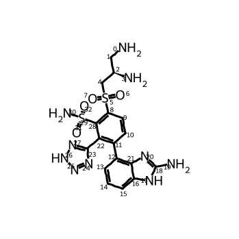 NC[C@@H](N)CS(=O)(=O)c1ccc(-c2cccc3[nH]c(N)nc23)c(-c2nn[nH]n2)c1S(N)(=O)=O